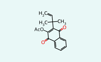 C=CC(C)(C)C1=C(OC(C)=O)C(=O)c2ccccc2C1=O